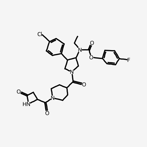 CCN(C(=O)Oc1ccc(F)cc1)C1CN(C(=O)C2CCN(C(=O)C3CC(=O)N3)CC2)CC1c1ccc(Cl)cc1